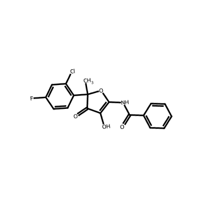 CC1(c2ccc(F)cc2Cl)OC(NC(=O)c2ccccc2)=C(O)C1=O